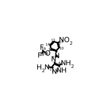 Nc1n[nH]c(N)c1N=Nc1cc([N+](=O)[O-])ccc1OC(F)F